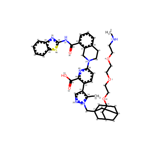 CNCCOCCOCCOC12CC3CC(CC(Cn4ncc(-c5ccc(N6CCc7cccc(C(=O)Nc8nc9ccccc9s8)c7C6)nc5C(=O)O)c4C)(C3)C1)C2